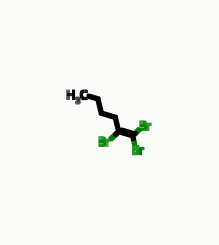 CCCCC(Br)=C(Br)Br